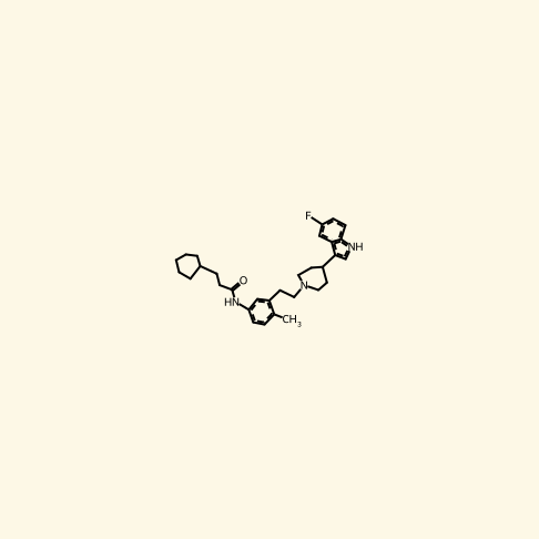 Cc1ccc(NC(=O)CCC2CCCCC2)cc1CCN1CCC(c2c[nH]c3ccc(F)cc23)CC1